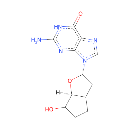 Nc1nc2c(ncn2[C@@H]2CC3CCC(O)[C@H]3O2)c(=O)[nH]1